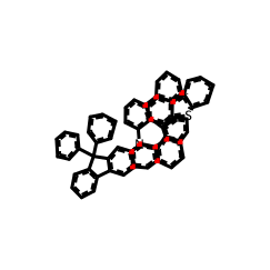 c1ccc(-c2ccccc2-c2c(-c3ccccc3)cccc2N(c2ccc3c(c2)C(c2ccccc2)(c2ccccc2)c2ccccc2-3)c2ccccc2-c2cccc3c2sc2ccccc23)cc1